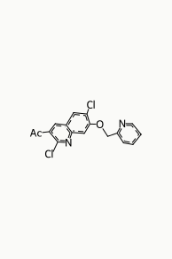 CC(=O)c1cc2cc(Cl)c(OCc3ccccn3)cc2nc1Cl